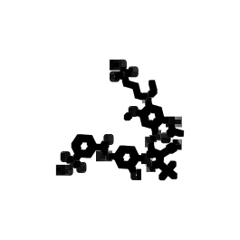 CCN(CCCS(=O)(=O)O)c1cc(NC(C)=O)c(/N=N/c2c(C#N)c(C(C)(C)C)nn2-c2ccc(NC(=O)c3cccc(S(=O)(=O)O)c3)cc2Cl)cc1OC